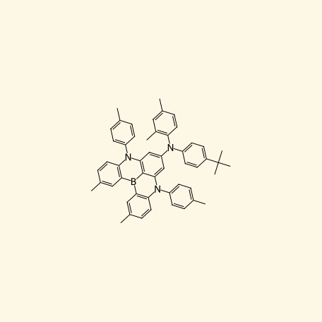 Cc1ccc(N2c3ccc(C)cc3B3c4cc(C)ccc4N(c4ccc(C)cc4)c4cc(N(c5ccc(C(C)(C)C)cc5)c5ccc(C)cc5C)cc2c43)cc1